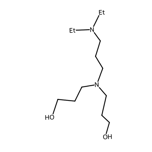 CCN(CC)CCCN(CCCO)CCCO